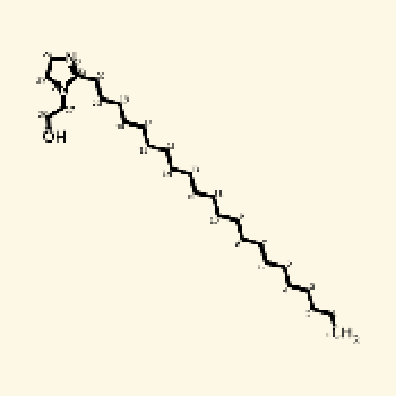 CCCCCCCCCCCCCCCCCCCCCCC1=NCCN1CCO